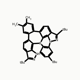 Cc1cc2c(cc1C)-c1ccc3c(C(C)(C)C)nn4c3c1B(c1ccc(C(C)(C)C)cc1-4)c1c-2ccc2c(C(C)(C)C)n[nH]c12